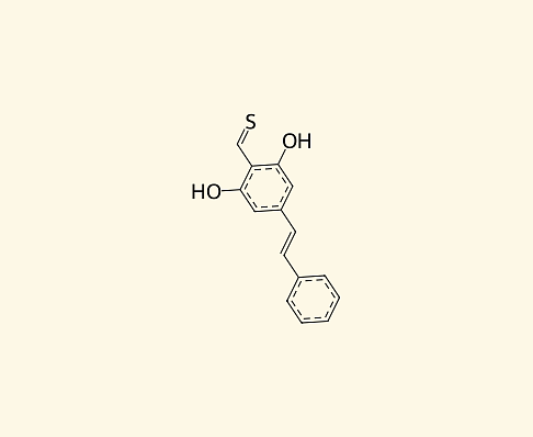 Oc1cc(/C=C/c2ccccc2)cc(O)c1C=S